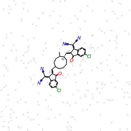 CC1CCC(/C=C2\C(=O)c3cc(Cl)ccc3C2=C(C#N)C#N)CCCC[C@@H]1/C=C1\C(=O)c2cc(Cl)ccc2C1=C(C#N)C#N